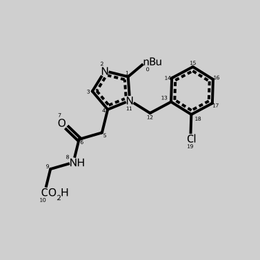 CCCCc1ncc(CC(=O)NCC(=O)O)n1Cc1ccccc1Cl